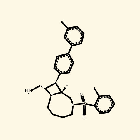 Cc1cccc(-c2ccc([C@@H]3[C@@H](CN)N4CCCCN(S(=O)(=O)c5ccccc5C)C[C@@H]34)cc2)c1